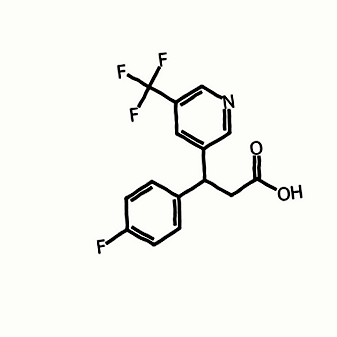 O=C(O)CC(c1ccc(F)cc1)c1cncc(C(F)(F)F)c1